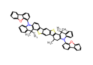 CC1CC2=C(c3sc4cc5c(cc4c31)sc1c3c(ccc15)N(c1cccc4c1oc1ccccc14)c1ccccc1C3(C)C)C(C)(C)c1ccccc1N2c1cccc2c1oc1ccccc12